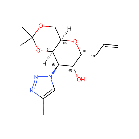 C=CC[C@H]1O[C@@H]2COC(C)(C)O[C@@H]2[C@H](n2cc(I)nn2)[C@H]1O